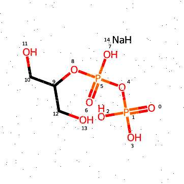 O=P(O)(O)OP(=O)(O)OC(CO)CO.[NaH]